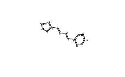 C(/C=C/c1cccs1)=C\c1ccccc1